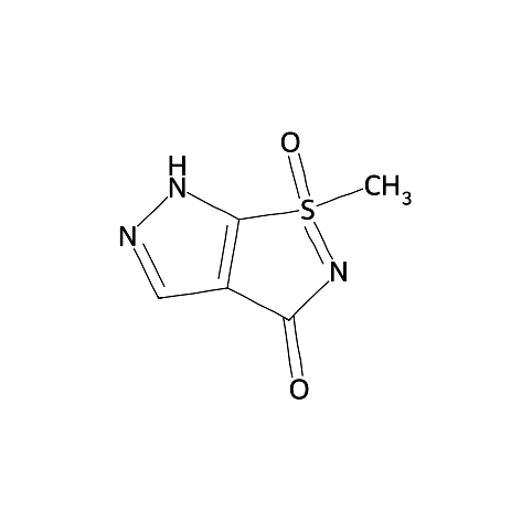 CS1(=O)=NC(=O)c2cn[nH]c21